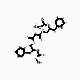 CC(C)(C)OC(=O)NC(COC(=O)CC(=O)OCC(Cc1ccccc1)NC(=O)OC(C)(C)C)Cc1ccccc1